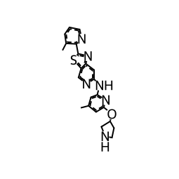 Cc1cc(Nc2cc3nc(-c4ncccc4C)sc3cn2)nc(O[C@H]2CCNC2)c1